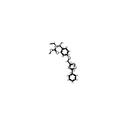 CCN(C(=O)OC)[C@@H](C)c1ccc(OCc2noc(-c3ccccc3)n2)cc1